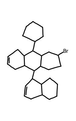 BrC1CCC2C(C1)C(C1CCCCC1)C1CC=CCC1C2C1C=CCC2CCCCC21